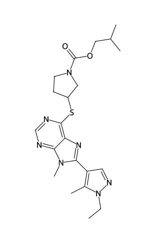 CCn1ncc(-c2nc3c(SC4CCN(C(=O)OCC(C)C)C4)ncnc3n2C)c1C